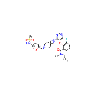 CC(C)N(CC(F)(F)F)C(=O)c1cccc(F)c1Oc1cncnc1N1CC2(CCN(C[C@@H]3CC[C@@H](NS(=O)(=O)C(C)C)CO3)CC2)C1